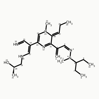 C=C(/C=N\N(C)C(CC)CC)C1=NC(/C(C=N)=C/NC[C@@H](C)O)=CN(C)/C1=C\CC